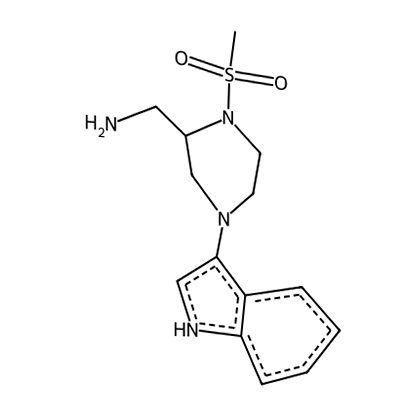 CS(=O)(=O)N1CCN(c2c[nH]c3ccccc23)CC1CN